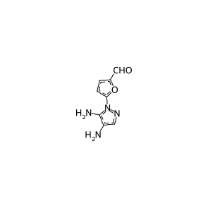 Nc1cnn(-c2ccc(C=O)o2)c1N